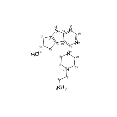 Cl.NCCN1CCN(c2ncnc3sc4c(c23)CCC4)CC1